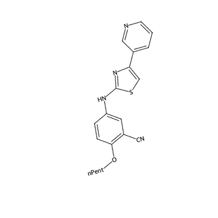 CCCCCOc1ccc(Nc2nc(-c3cccnc3)cs2)cc1C#N